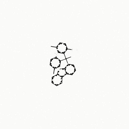 Cc1ccc(N)c(C(C)(c2cc(C)ccc2N)c2cccc3c2[nH]c2ccccc23)c1